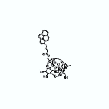 Cc1cc(C)c(S(=O)(=O)OCC2OC3OC4C(COC(=O)CCCc5ccc6ccc7cccc8ccc5c6c78)OC(CCCCOC5C(CO)OC(OC2C(O)C3O)C(O)C5O)C(O)C4O)c(C)c1